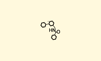 O=C(NCc1cc[c]c(-c2ccccc2)c1)c1ccccc1